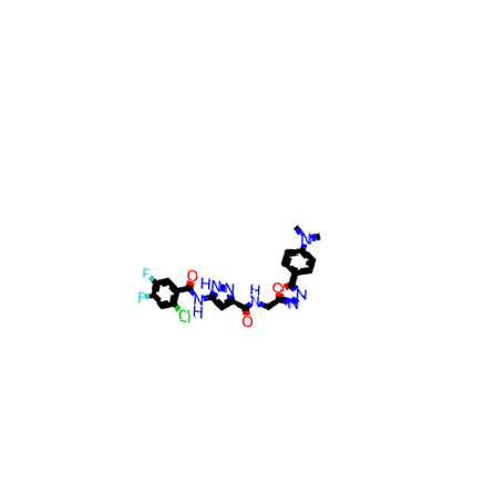 CN(C)c1ccc(-c2nnc(CNC(=O)c3cc(NC(=O)c4cc(F)c(F)cc4Cl)[nH]n3)o2)cc1